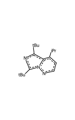 CC(C)c1ccnn2c(C(C)(C)C)nc(C(C)(C)C)c12